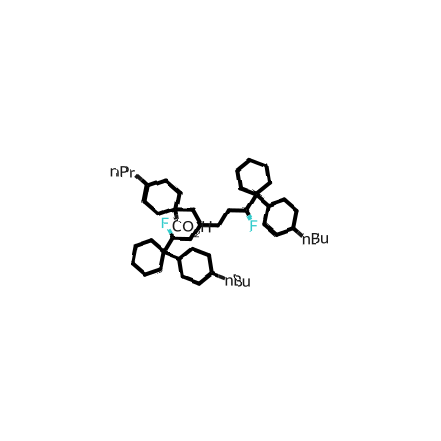 CCCCC1CCC(C2(C(F)CCC(CC(F)C3(C4CCC(CCCC)CC4)CCCCC3)CC3(C(=O)O)CCC(CCC)CC3)CCCCC2)CC1